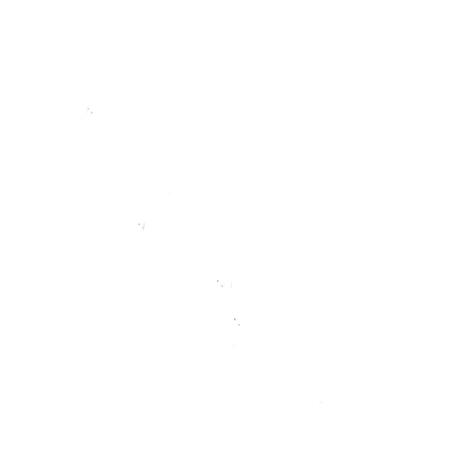 CC(C)c1ccc(C(=O)NC(=S)Nc2ccc(NC(=O)CCCCN)cc2)cc1